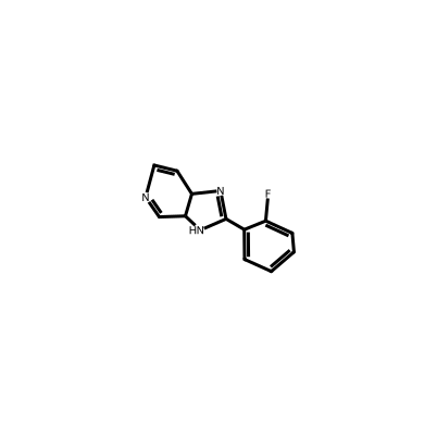 Fc1ccccc1C1=NC2C=CN=CC2N1